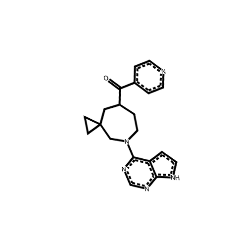 O=C(c1ccncc1)C1CCN(c2ncnc3[nH]ccc23)CC2(CC2)C1